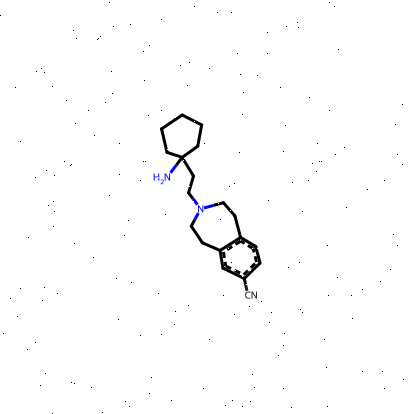 N#Cc1ccc2c(c1)CCN(CCC1(N)CCCCC1)CC2